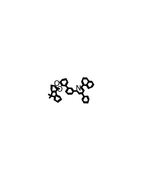 CC1(C)c2ccccc2-c2c1ccc1c2Oc2c(cccc2-c2cccc(-c3cc(-c4ccccc4)cc(-c4cccc5ccccc45)n3)c2)O1